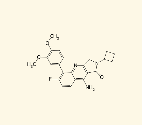 COc1ccc(-c2c(F)ccc3c(N)c4c(nc23)CN(C2CCC2)C4=O)cc1OC